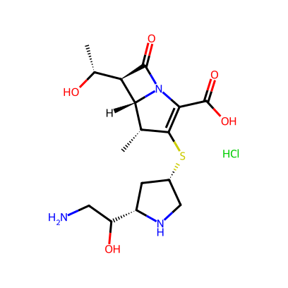 C[C@@H](O)[C@H]1C(=O)N2C(C(=O)O)=C(S[C@@H]3CN[C@H](C(O)CN)C3)[C@H](C)[C@H]12.Cl